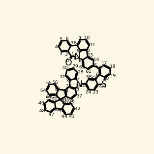 O=c1c2ccccc2c2cccc3c4cc(-c5cccc6sc7ccc(-n8c9ccccc9c9c%10c(ccc98)C8(c9ccccc9-c9ccccc98)c8ccccc8-%10)cc7c56)ccc4n1c23